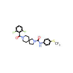 O=C(Nc1ccc(SC(F)(F)F)cc1)N1CCC2(CCN(C(=O)c3c(F)cccc3F)CC2)C1